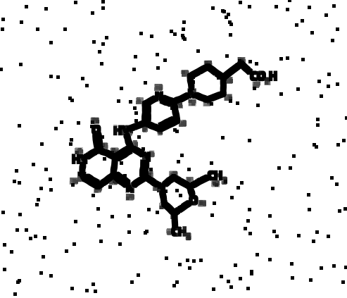 CC1CN(c2nc(Nc3ccc(N4CCC(CC(=O)O)CC4)nc3)c3c(=O)[nH]ncc3n2)CC(C)O1